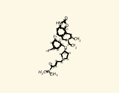 C[C@@H]1Cc2c(ccc3[nH]c(=O)oc23)[C@@H](c2c(F)cc(F)cc2O[C@H]2CCN(C/C=C/C(=O)N(C)C)C2)N1CC(F)(F)F